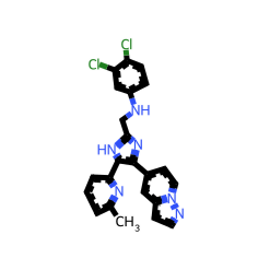 Cc1cccc(-c2[nH]c(CNc3ccc(Cl)c(Cl)c3)nc2-c2ccn3nccc3c2)n1